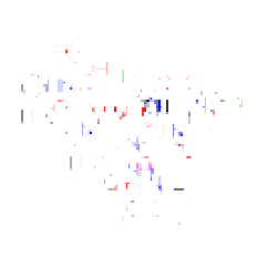 CCC(C)[C@@H](C(CC(=O)N1CCC[C@H]1[C@H](OC)[C@@H](C)C(=O)N[C@@H](Cc1ccccc1)C(=O)O)OC)N(C)C(=O)[C@@H](NC(=O)[C@H](C(C)C)N(C)C(=O)CCC(=O)N(CCN1C(=O)C=C(Br)C1=O)CCN1C(=O)C=C(Br)C1=O)C(C)C